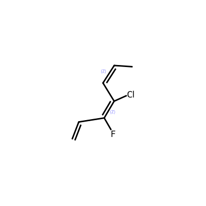 C=C/C(F)=C(Cl)\C=C/C